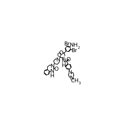 CN1CCN(c2ccc(C(=O)N[C@@H](CC(=O)c3cc(Br)c(N)c(Br)c3)C(=O)N3CCC(N4CCc5ccccc5NC4=O)CC3)cc2)CC1